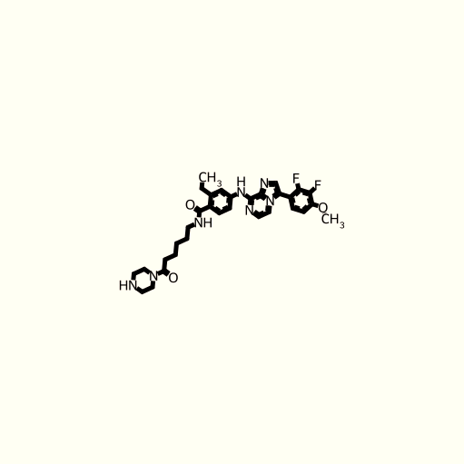 CCc1cc(Nc2nccn3c(-c4ccc(OC)c(F)c4F)cnc23)ccc1C(=O)NCCCCCC(=O)N1CCNCC1